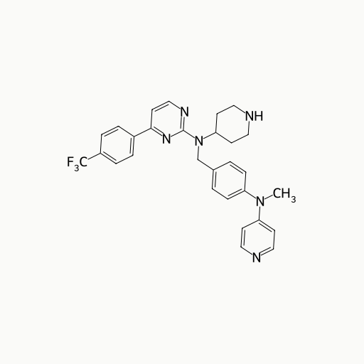 CN(c1ccncc1)c1ccc(CN(c2nccc(-c3ccc(C(F)(F)F)cc3)n2)C2CCNCC2)cc1